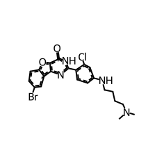 CN(C)CCCCNc1ccc(-c2nc3c(oc4ccc(Br)cc43)c(=O)[nH]2)c(Cl)c1